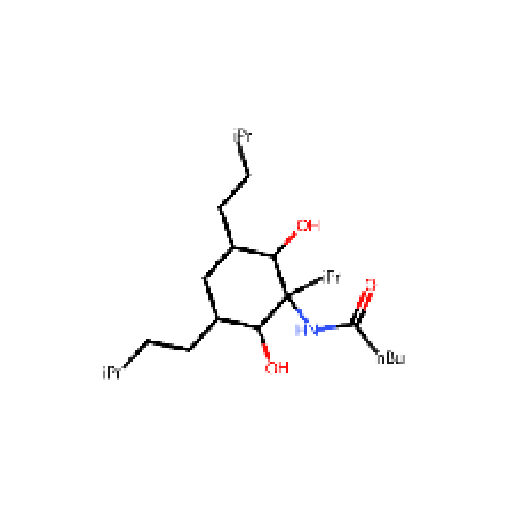 CCCCC(=O)NC1(C(C)C)C(O)C(CCC(C)C)CC(CCC(C)C)C1O